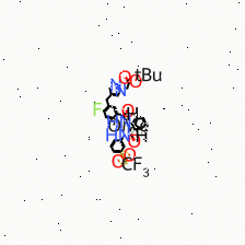 COc1cc(F)c(Cc2cnn(CC(=O)OC(C)(C)C)c2)cc1C(=O)N[C@H]1[C@@H](C(=O)Nc2cccc(S(=O)(=O)C(F)(F)F)c2)[C@@H]2C=C[C@H]1C2